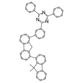 CC1(C)c2ccccc2-c2cccc(-c3cccc4c3Cc3c(-c5cccc(-c6nc(-c7ccccc7)nc(-c7ccccc7)n6)c5)cccc3-4)c21